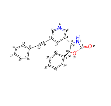 O=C1N[C@@H](c2cncc(C#Cc3ccccc3)c2)[C@H](c2ccccc2)O1